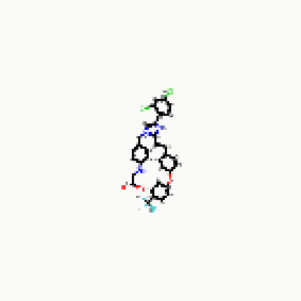 O=C(O)CNc1ccc(Cn2cc(-c3ccc(Cl)cc3Cl)nc2C=Cc2ccc(Oc3ccc(C(F)(F)F)cc3)cc2)cc1